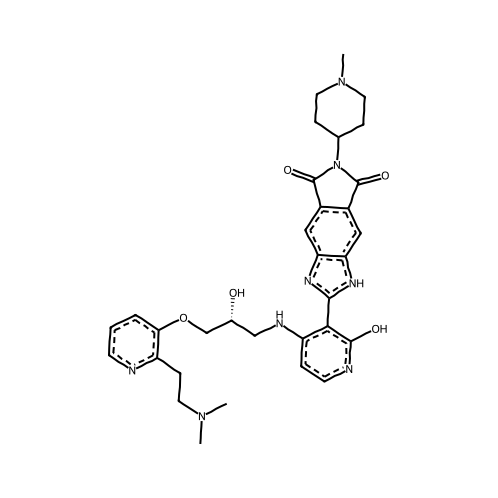 CN(C)CCc1ncccc1OC[C@H](O)CNc1ccnc(O)c1-c1nc2cc3c(cc2[nH]1)C(=O)N(C1CCN(C)CC1)C3=O